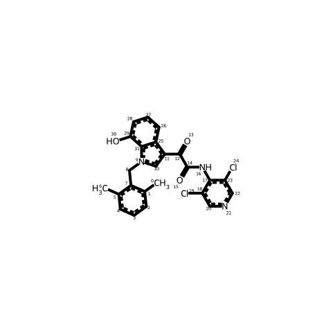 Cc1cccc(C)c1Cn1cc(C(=O)C(=O)Nc2c(Cl)cncc2Cl)c2cccc(O)c21